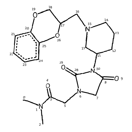 CN(C)C(=O)CN1CC(=O)N(C2CCCN(CC3COc4ccccc4O3)C2)C1=O